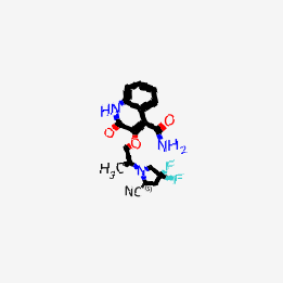 CC(COc1c(C(N)=O)c2ccccc2[nH]c1=O)N1CC(F)(F)C[C@H]1C#N